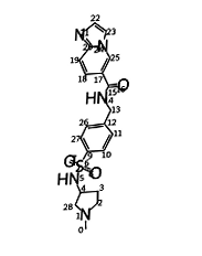 CN1CCC(NS(=O)(=O)c2ccc(CNC(=O)c3ccc4nccn4c3)cc2)C1